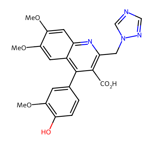 COc1cc(-c2c(C(=O)O)c(Cn3cncn3)nc3cc(OC)c(OC)cc23)ccc1O